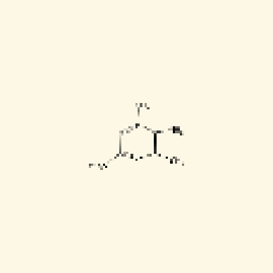 Cc1cc(S(=O)(=O)O)cc(C)c1N